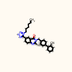 C=CCCCCn1nnnc1-c1ccc2nc(CCCC)n(Cc3ccc(-c4ccccc4C#N)cc3)c(=O)c2c1